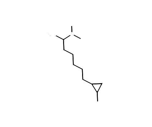 CCCCCCCCCCC1CC1CCCCCC(CCCCCCCCC)N(C)CC